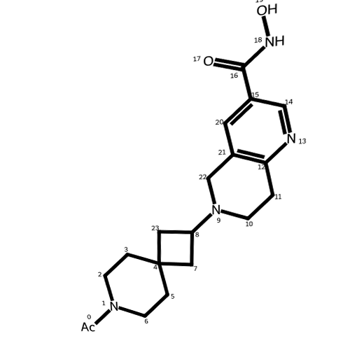 CC(=O)N1CCC2(CC1)CC(N1CCc3ncc(C(=O)NO)cc3C1)C2